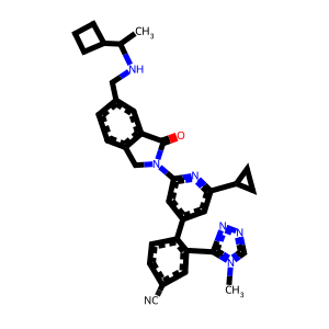 CC(NCc1ccc2c(c1)C(=O)N(c1cc(-c3ccc(C#N)cc3-c3nncn3C)cc(C3CC3)n1)C2)C1CCC1